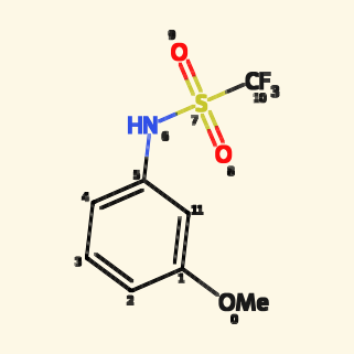 COc1cccc(NS(=O)(=O)C(F)(F)F)c1